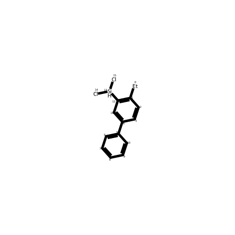 CCc1ccc(-c2ccccc2)cc1[SiH](Cl)Cl